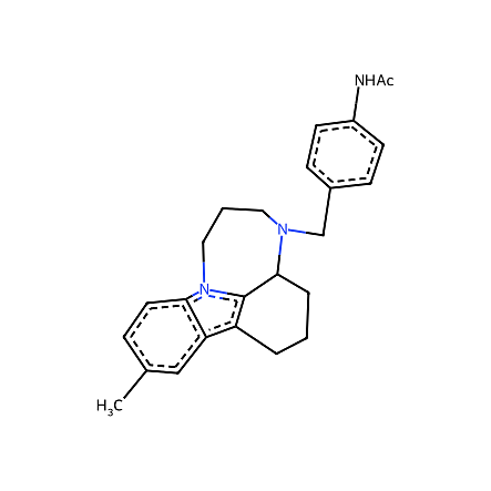 CC(=O)Nc1ccc(CN2CCCn3c4c(c5cc(C)ccc53)CCCC42)cc1